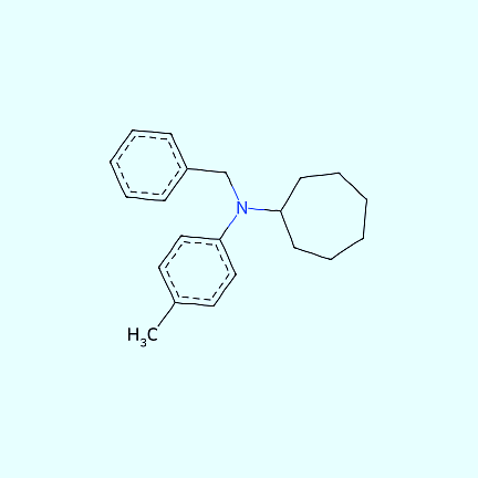 Cc1ccc(N(Cc2ccccc2)C2CCCCCC2)cc1